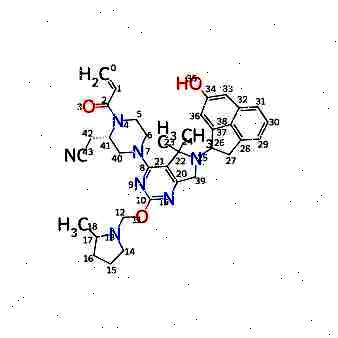 C=CC(=O)N1CCN(c2nc(OCN3CCCC3C)nc3c2C(C)(C)N(C2Cc4cccc5cc(O)cc2c45)C3)C[C@@H]1CC#N